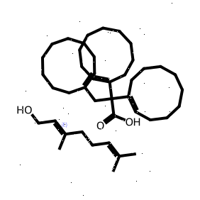 CC(C)=CCC/C(C)=C/CO.O=C(O)C(CC1=CCCCCCCCC1)(C1=CCCCCCCCC1)C1=CCCCCCCCC1